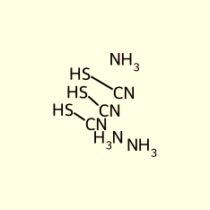 N.N.N.N#CS.N#CS.N#CS